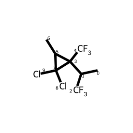 CC(C(F)(F)F)C1(C(F)(F)F)C(C)C1(Cl)Cl